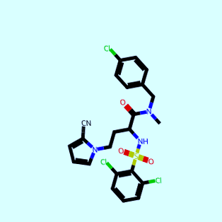 CN(Cc1ccc(Cl)cc1)C(=O)C(CCn1cccc1C#N)NS(=O)(=O)c1c(Cl)cccc1Cl